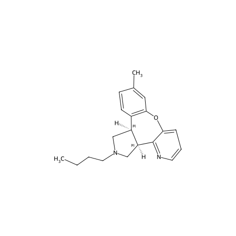 CCCCN1C[C@@H]2c3ncccc3Oc3cc(C)ccc3[C@@H]2C1